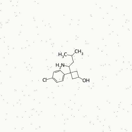 CC(C)CC(N)C1(c2ccc(Cl)cc2)CC(O)C1